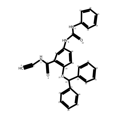 C#CNC(=O)c1cc(NC(=O)Nc2ccccc2)ccc1OC(c1ccccc1)c1ccccc1